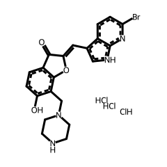 Cl.Cl.Cl.O=C1C(=Cc2c[nH]c3nc(Br)ccc23)Oc2c1ccc(O)c2CN1CCNCC1